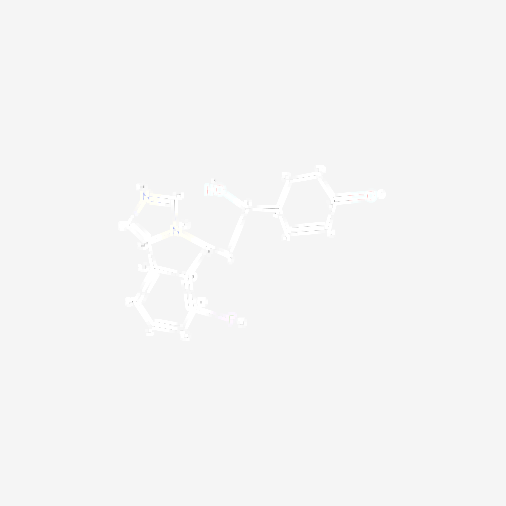 O=C1C=CC(C(O)CC2c3c(F)cccc3-c3cncn32)CC1